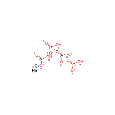 O=C([O-])O.O=C([O-])O.O=C([O-])O.O=C([O-])O.[N+3].[Na+]